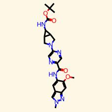 COc1cc2nn(C)cc2cc1NC(=O)c1cnc(N2CC3C(C2)C3NC(=O)OC(C)(C)C)cn1